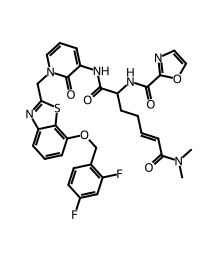 CN(C)C(=O)/C=C/CCC(NC(=O)c1ncco1)C(=O)Nc1cccn(Cc2nc3cccc(OCc4ccc(F)cc4F)c3s2)c1=O